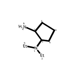 CCN(CC)C1CCCC1N